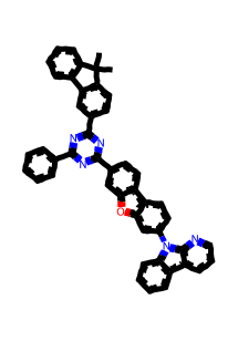 CC1(C)c2ccccc2-c2cc(-c3nc(-c4ccccc4)nc(-c4ccc5c(c4)oc4cc(-n6c7ccccc7c7cccnc76)ccc45)n3)ccc21